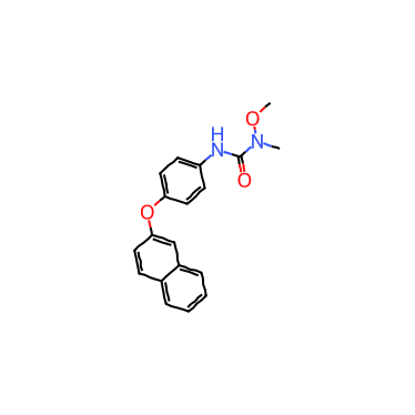 CON(C)C(=O)Nc1ccc(Oc2ccc3ccccc3c2)cc1